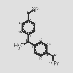 CC(C)Cc1ccc(C(C)c2ccc(CC(C)C)cc2)cc1